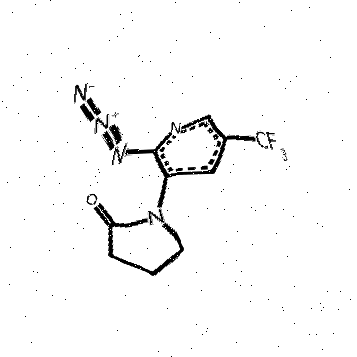 [N-]=[N+]=Nc1ncc(C(F)(F)F)cc1N1CCCC1=O